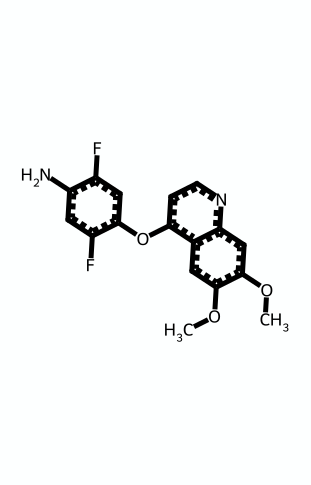 COc1cc2nccc(Oc3cc(F)c(N)cc3F)c2cc1OC